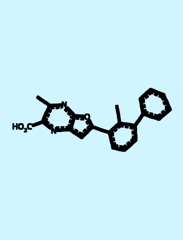 Cc1nc2oc(-c3cccc(-c4ccccc4)c3C)cc2nc1C(=O)O